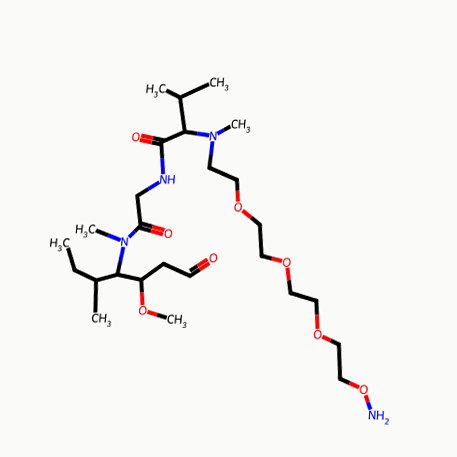 CCC(C)C(C(CC=O)OC)N(C)C(=O)CNC(=O)C(C(C)C)N(C)CCOCCOCCOCCON